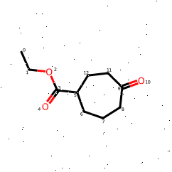 CCOC(=O)C1CCCC(=O)CC1